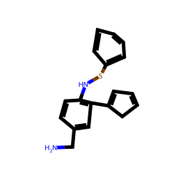 NCc1ccc(NSc2ccccc2)c(C2=CC=CC2)c1